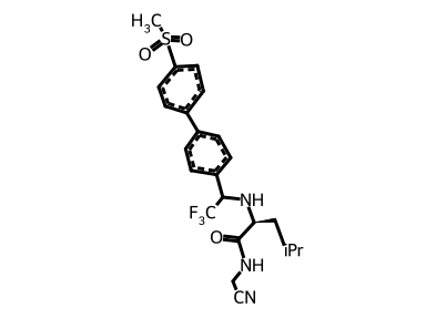 CC(C)C[C@H](NC(c1ccc(-c2ccc(S(C)(=O)=O)cc2)cc1)C(F)(F)F)C(=O)NCC#N